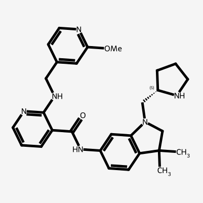 COc1cc(CNc2ncccc2C(=O)Nc2ccc3c(c2)N(C[C@@H]2CCCN2)CC3(C)C)ccn1